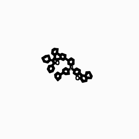 c1ccc(-c2ccc(N(c3cccc(-c4ccc5c6ccccc6c6c(-c7ccccc7)c(-c7ccccc7)oc6c5c4)c3)c3ccc4c(c3)oc3ccc5ccccc5c34)cc2)cc1